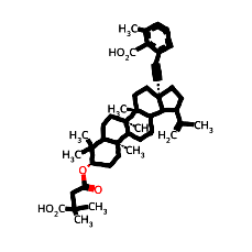 C=C(C)C1CC[C@]2(C#Cc3cccc(C)c3C(=O)O)CC[C@]3(C)C(CCC4[C@@]5(C)CC[C@H](OC(=O)CC(C)(C)C(=O)O)C(C)(C)C5CC[C@]43C)C12